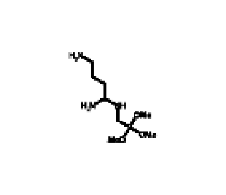 CO[Si](CNC(N)CCCN)(OC)OC